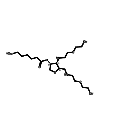 CCCCCCCCCCCCCCCC(=O)O[C@H]1CO[C@H](CNCCOCCO)[C@@H]1NCCOCCO